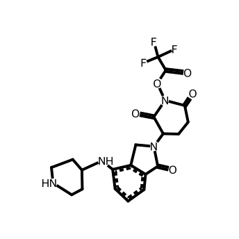 O=C1CCC(N2Cc3c(NC4CCNCC4)cccc3C2=O)C(=O)N1OC(=O)C(F)(F)F